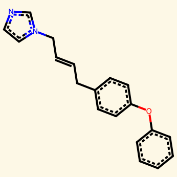 C(=CCn1ccnc1)Cc1ccc(Oc2ccccc2)cc1